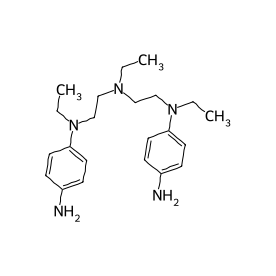 CCN(CCN(CC)c1ccc(N)cc1)CCN(CC)c1ccc(N)cc1